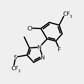 Cc1c(SC(F)(F)F)cnn1-c1c(F)cc(C(F)(F)F)cc1Cl